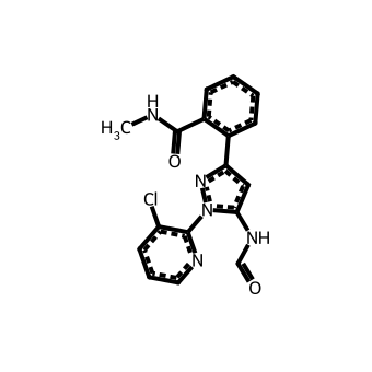 CNC(=O)c1ccccc1-c1cc(NC=O)n(-c2ncccc2Cl)n1